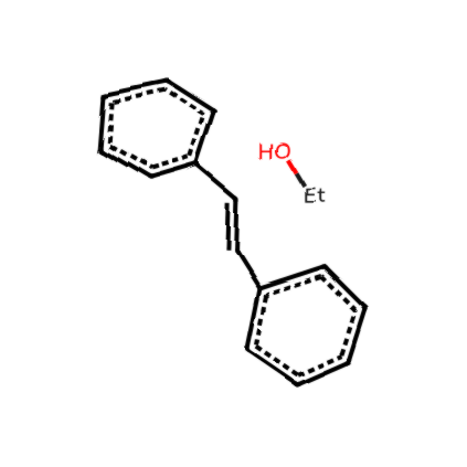 C(=Cc1ccccc1)c1ccccc1.CCO